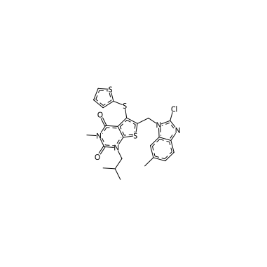 Cc1ccc2nc(Cl)n(Cc3sc4c(c3Sc3cccs3)c(=O)n(C)c(=O)n4CC(C)C)c2c1